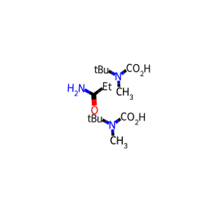 CCC(N)=O.CN(C(=O)O)C(C)(C)C.CN(C(=O)O)C(C)(C)C